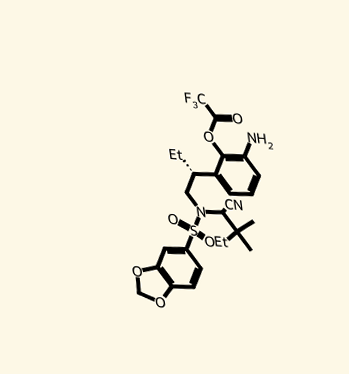 CC[C@@H](CN(C(C#N)C(C)(C)CC)S(=O)(=O)c1ccc2c(c1)OCO2)c1cccc(N)c1OC(=O)C(F)(F)F